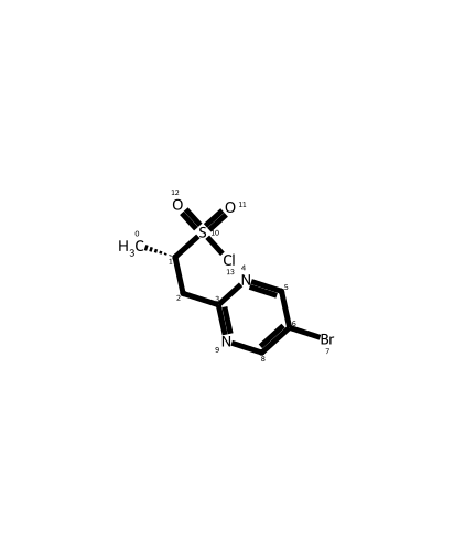 C[C@@H](Cc1ncc(Br)cn1)S(=O)(=O)Cl